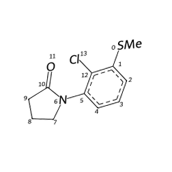 CSc1cccc(N2CCCC2=O)c1Cl